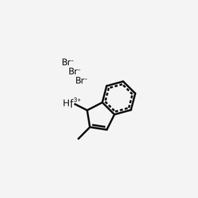 CC1=Cc2ccccc2[CH]1[Hf+3].[Br-].[Br-].[Br-]